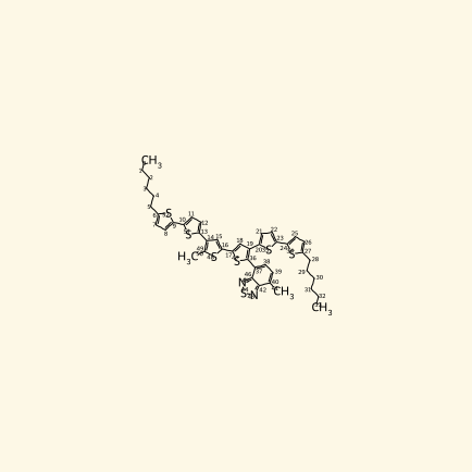 CCCCCCc1ccc(-c2ccc(-c3cc(-c4cc(-c5ccc(-c6ccc(CCCCCC)s6)s5)c(-c5ccc(C)c6nsnc56)s4)sc3C)s2)s1